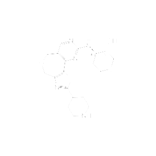 O[C@@H]1COCC[C@H]1Nc1ncc2c(n1)-c1sc(C3CCNCC3)nc1COC2